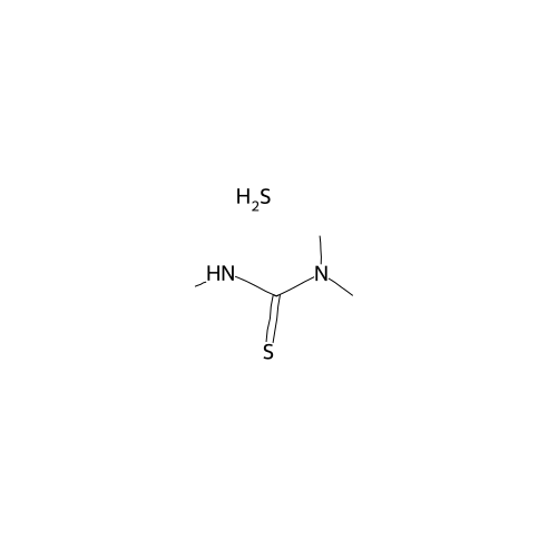 CNC(=S)N(C)C.S